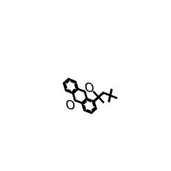 CC(C)(C)CC(C)(C)c1cccc2c1C(=O)c1ccccc1C2=O